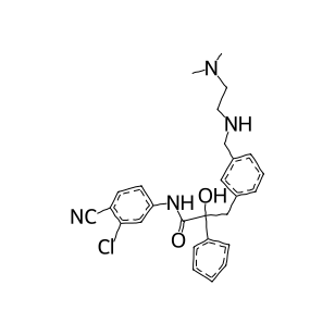 CN(C)CCNCc1cccc(CC(O)(C(=O)Nc2ccc(C#N)c(Cl)c2)c2ccccc2)c1